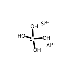 O[Si](O)(O)O.[Al+3].[Si+4]